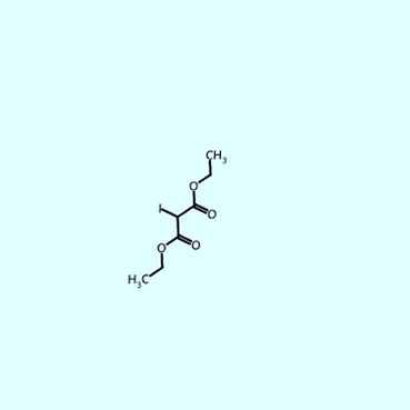 CCOC(=O)C(I)C(=O)OCC